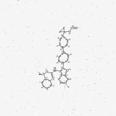 Cc1ccc2c(NC(=O)O[C@H](C)c3ccccc3)c(-c3ccc(-c4ccc(C5(OC=O)CC5)cc4)cc3)oc2n1